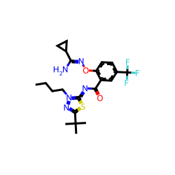 CCCCn1nc(C(C)(C)C)sc1=NC(=O)c1cc(C(F)(F)F)ccc1ON=C(N)C1CC1